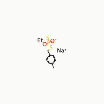 CCOP([O-])(=S)SCc1ccc(C)cc1.[Na+]